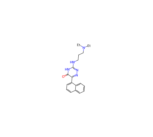 CCN(CC)CCCNc1nnc(-c2cccc3ccccc23)c(=O)[nH]1